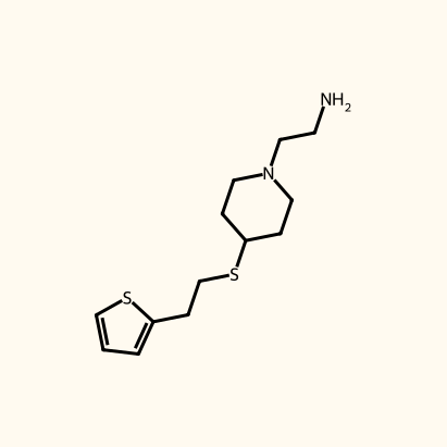 NCCN1CCC(SCCc2cccs2)CC1